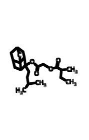 CCC(C)C(=O)OCC(=O)OC1(CCC(C)C)C2CC3CC(C2)CC1C3